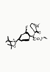 CC1(C)OB(c2ccc(N(C(=O)O)[C@H]3CCNC3=O)c(F)c2)OC1(C)C